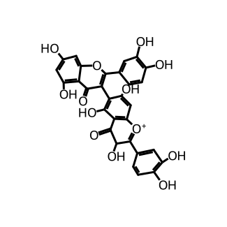 O=C1c2c(cc(O)c(-c3c(-c4ccc(O)c(O)c4)oc4cc(O)cc(O)c4c3=O)c2O)[O+]=C(c2ccc(O)c(O)c2)C1O